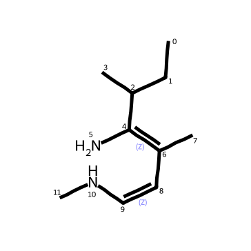 CCC(C)/C(N)=C(C)/C=C\NC